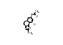 CC(=O)Oc1ccc2c(c1)CCc1sc(N)nc1-2.I